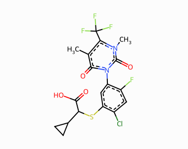 Cc1c(C(F)(F)F)n(C)c(=O)n(-c2cc(SC(C(=O)O)C3CC3)c(Cl)cc2F)c1=O